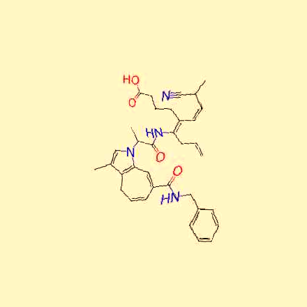 C=CC/C(NC(=O)C(C)n1cc(C)c2c1C=C(C(=O)NCc1ccccc1)C=CC2)=C(\C=C/C(C)C#N)CCCC(=O)O